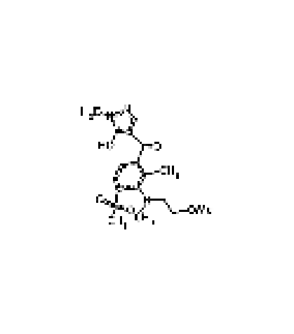 COCCN(C)c1c(S(C)(=O)=O)ccc(C(=O)c2cnn(C)c2O)c1C